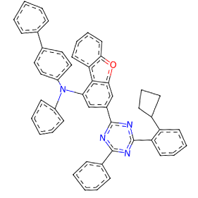 c1ccc(-c2ccc(N(c3ccccc3)c3cc(-c4nc(-c5ccccc5)nc(-c5ccccc5C5CCC5)n4)cc4oc5ccccc5c34)cc2)cc1